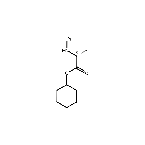 CC(C)N[C@H](C)C(=O)OC1CCCCC1